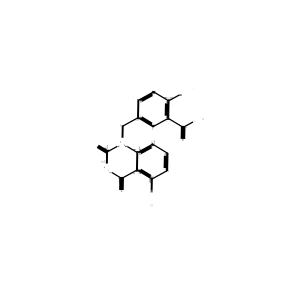 O=C(O)c1cc(Cn2c(=O)[nH]c(=O)c3c(F)cccc32)ccc1F